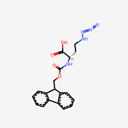 [N-]=[N+]=NNCC[C@H](NC(=O)OCC1c2ccccc2-c2ccccc21)C(=O)O